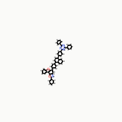 c1ccc(-c2nc(-c3ccccc3)nc(-c3ccc(-c4ccc(-c5ccc(-c6cc7nc(-c8ccccc8)oc7c7c6oc6ccccc67)cc5)c5ccccc45)cc3)n2)cc1